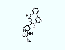 O=C(Nc1cncc(-c2ccccc2C(F)(F)F)c1)c1ccnc(NC(=O)C2CC2)c1